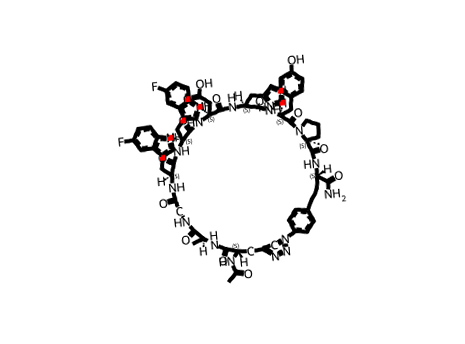 CC(=O)N[C@H]1Cc2cn(nn2)-c2ccc(cc2)C[C@@H](C(N)=O)NC(=O)[C@]2(C)CCCN2C(=O)[C@H](Cc2ccc(O)cc2)NC(=O)[C@H](Cc2cnc[nH]2)NC(=O)[C@H](CC(=O)O)NC(=O)[C@H](Cc2c[nH]c3ccc(F)cc23)NC(=O)[C@H](Cc2c[nH]c3ccc(F)cc23)NC(=O)CNC(=O)[C@H](C)NC1=O